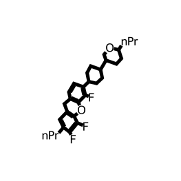 CCCc1cc2c(c(F)c1F)Oc1c(ccc(C3CCC(C4CCC(CCC)OC4)CC3)c1F)C2